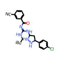 CCC(C)CN/C(=N/C(=O)c1cccc(C#N)c1)NC1CC(c2ccc(Cl)cc2)NN1